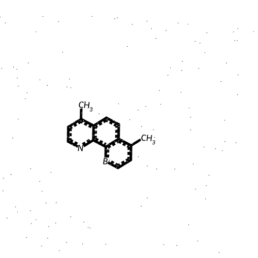 Cc1ccbc2c1ccc1c(C)ccnc12